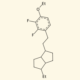 CCOc1ccc(CCC2CCC3C(CC)CCC23)c(F)c1F